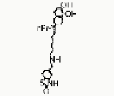 CCCN(CCCCCCNCCc1ccc2sc(=O)[nH]c2c1)C1CCc2c(ccc(O)c2O)C1